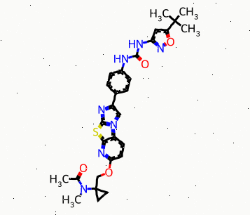 CC(=O)N(C)C1(COc2ccc3c(n2)sc2nc(-c4ccc(NC(=O)Nc5cc(C(C)(C)C)on5)cc4)cn23)CC1